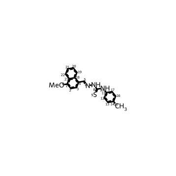 COc1ccc(/C=N/NC(=S)Nc2ccc(C)cc2)c2ccccc12